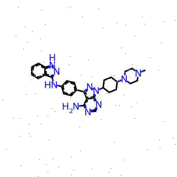 CN1CCN(C2CCC(n3nc(-c4ccc(Nc5n[nH]c6ccccc56)cc4)c4c(N)ncnc43)CC2)CC1